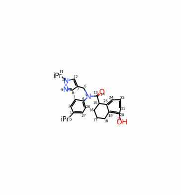 CC(C)c1ccc(N(Cc2cnn(C(C)C)c2)C(=O)C2CCCc3c(O)cccc32)cc1